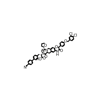 N#Cc1ccc(-c2ccc(C[C@H](NC(=O)C3Cc4cc5c(cc4CN3C(=O)[C@H]3CCCO3)OC(c3ccc(OCc4ccc(Cl)c(Cl)c4)cc3)C(=O)N5)C(=O)O)cc2)cc1